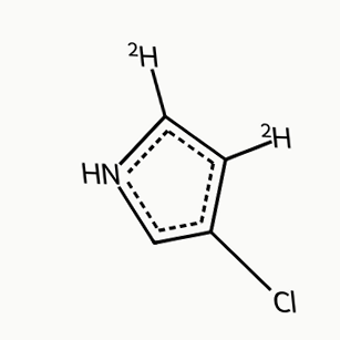 [2H]c1[nH]cc(Cl)c1[2H]